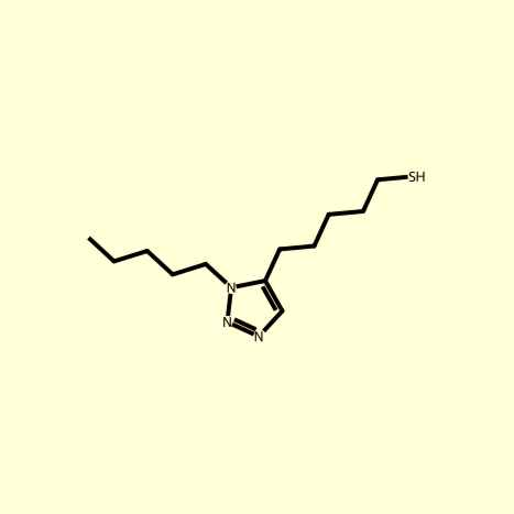 CCCCCn1nncc1CCCCCS